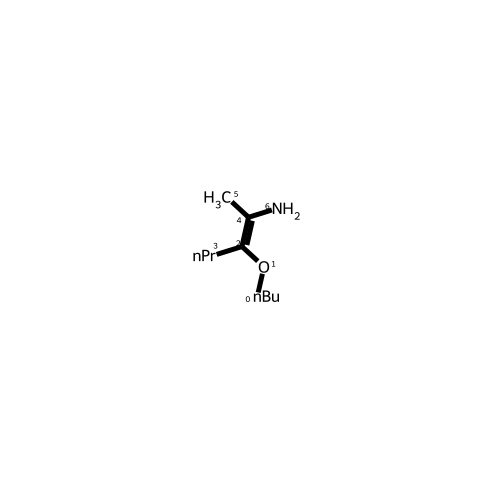 CCCCO/C(CCC)=C(/C)N